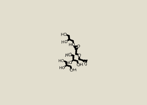 C(OCC1CO1)C1CO1.OCC(O)CO.OCC(O)CO.OCC(O)CO